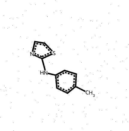 Cc1ccc(Nc2nc[c]s2)cc1